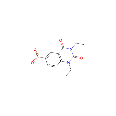 CCn1c(=O)c2cc([SH](=O)=O)ccc2n(CC)c1=O